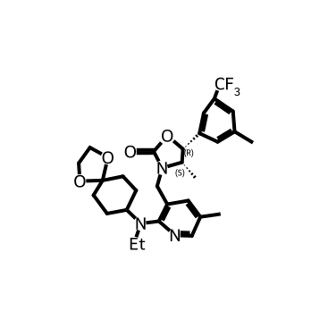 CCN(c1ncc(C)cc1CN1C(=O)O[C@H](c2cc(C)cc(C(F)(F)F)c2)[C@@H]1C)C1CCC2(CC1)OCCO2